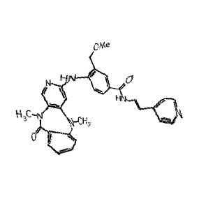 COCc1cc(C(=O)NCCc2ccncc2)ccc1Nc1cc2c(cn1)N(C)C(=O)c1ccccc1N2C